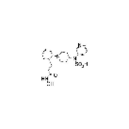 O=C(/C=C/c1ccccc1N1CCC(N(c2cccnc2)S(=O)(=O)O)CC1)NO